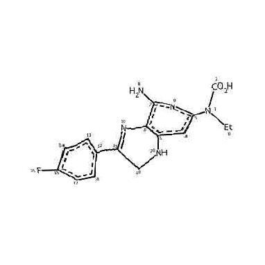 CCN(C(=O)O)c1cc2c(c(N)n1)N=C(c1ccc(F)cc1)CN2